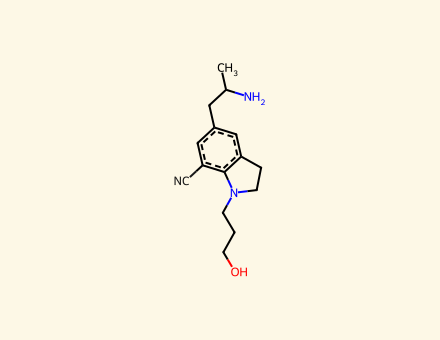 CC(N)Cc1cc(C#N)c2c(c1)CCN2CCCO